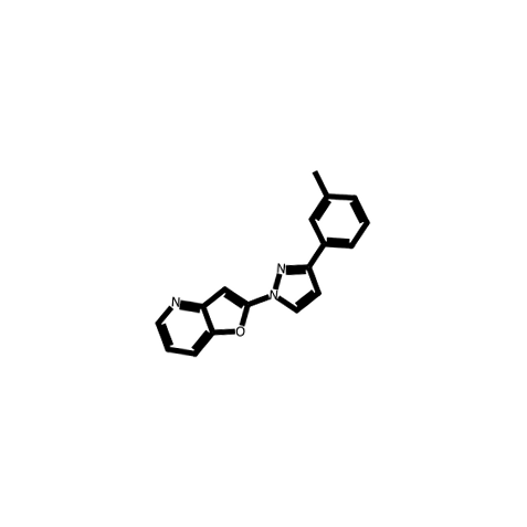 Cc1cccc(-c2ccn(-c3cc4ncccc4o3)n2)c1